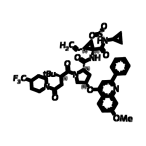 C=C[C@@H]1C[C@]1(NC(=O)[C@@H]1C[C@@H](Oc2cc(-c3ccccc3)nc3cc(OC)ccc23)CN1C(=O)[C@@H](CC(=O)N1CCC(C(F)(F)F)CC1)C(C)(C)C)C(=O)N(C1CC1)[SH](=O)=O